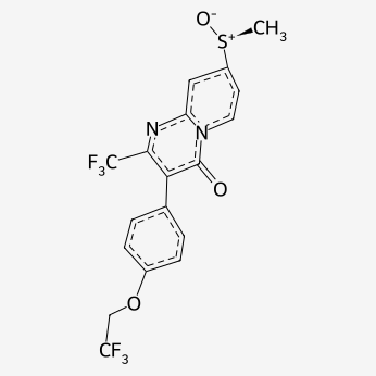 C[S@+]([O-])c1ccn2c(=O)c(-c3ccc(OCC(F)(F)F)cc3)c(C(F)(F)F)nc2c1